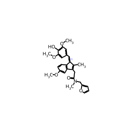 COc1ccc2c(c1)C(CC(=O)N(C)Cc1ccco1)=C(C)/C2=C/c1cc(OC)c(O)c(OC)c1